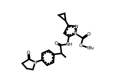 CC(C(=O)Nc1cc(C2CC2)nn1C(=O)OC(C)(C)C)c1ccc(N2CCCC2=O)cc1